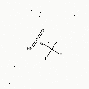 FC(F)(F)[Se].N=C=O